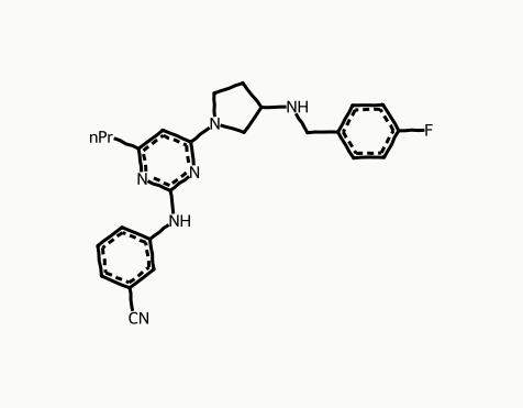 CCCc1cc(N2CCC(NCc3ccc(F)cc3)C2)nc(Nc2cccc(C#N)c2)n1